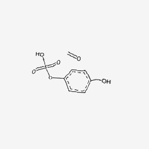 C=O.O=S(=O)(O)Oc1ccc(O)cc1